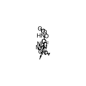 CC#CC(=O)N1CC2(CC2)C[C@H]1c1nc(-c2ccc(C(=O)Nc3cc(OC)ccn3)cc2F)c2c(N)nccn12